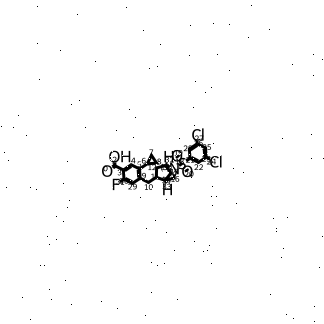 O=C(O)c1cc(C2CC2)c(CC2C[C@H]3C[C@@H]2CN3S(=O)(=O)c2cc(Cl)cc(Cl)c2)cc1F